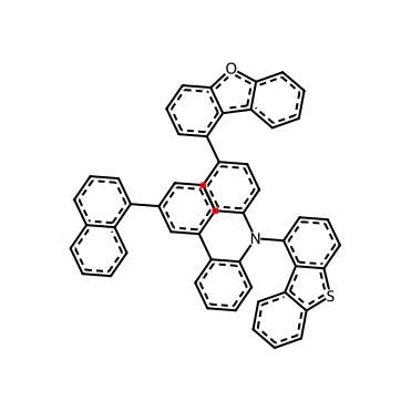 c1cc(-c2ccccc2N(c2ccc(-c3cccc4oc5ccccc5c34)cc2)c2cccc3sc4ccccc4c23)cc(-c2cccc3ccccc23)c1